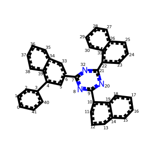 c1ccc(-c2cc(-c3nc(-c4cccc5ccccc45)nc(-c4cccc5ccccc45)n3)cc3ccccc23)cc1